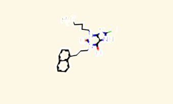 CCCCCn1c(=O)n(CCCc2cccc3ccccc23)c(=O)c2[nH]c(Cl)nc21